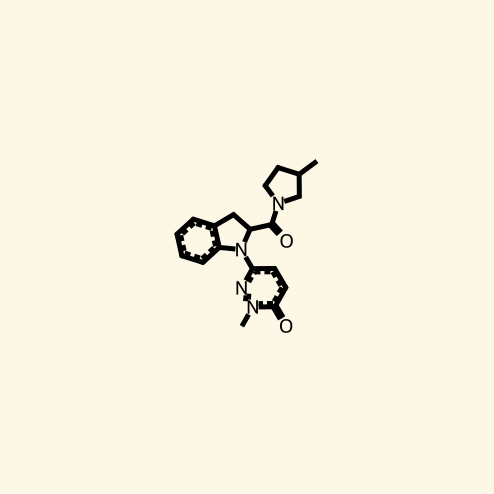 CC1CCN(C(=O)C2Cc3ccccc3N2c2ccc(=O)n(C)n2)C1